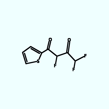 O=C(c1cccs1)C(F)C(=O)C(F)F